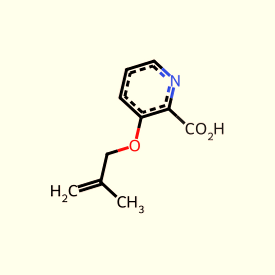 C=C(C)COc1cccnc1C(=O)O